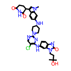 Cn1cc(C2CCC(=O)NC2=O)c2ccc(NC3CCN(c4ncc(Cl)c(Nc5ccc6c(c5)n(CCC(C)(C)O)c(=O)n6C)n4)CC3)cc21